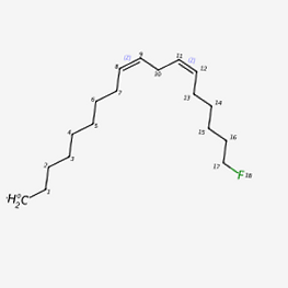 [CH2]CCCCCCC/C=C\C/C=C\CCCCCF